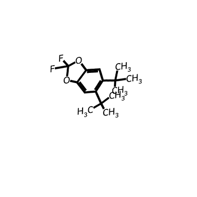 CC(C)(C)c1cc2c(cc1C(C)(C)C)OC(F)(F)O2